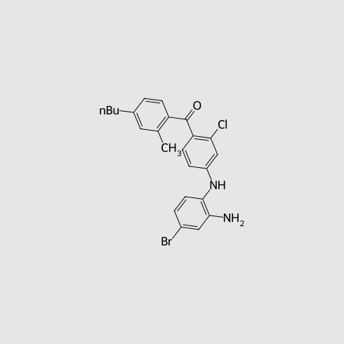 CCCCc1ccc(C(=O)c2ccc(Nc3ccc(Br)cc3N)cc2Cl)c(C)c1